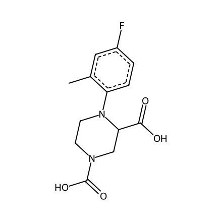 Cc1cc(F)ccc1N1CCN(C(=O)O)CC1C(=O)O